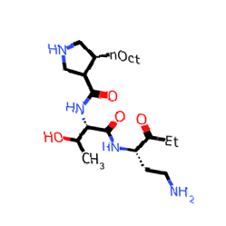 CCCCCCCC[C@@H]1CNCC1C(=O)N[C@H](C(=O)N[C@@H](CCN)C(=O)CC)C(C)O